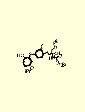 CC(C)Oc1ccc(O)c(Sc2ccc(CC[C@@](C)(COP=O)NC(=O)OC(C)(C)C)c(Cl)c2)c1